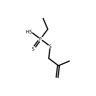 C=C(C)CSP(=S)(S)CC